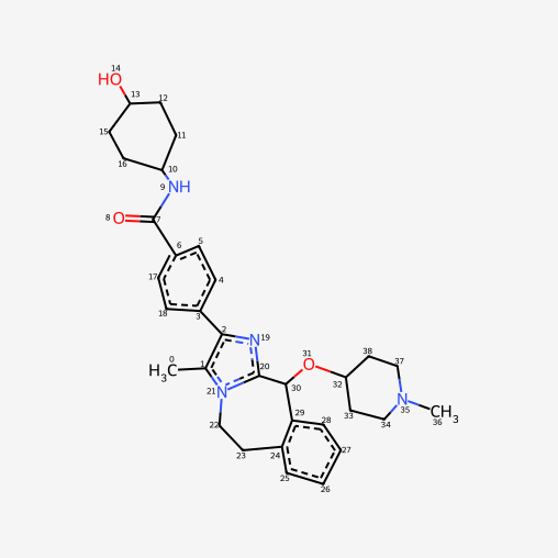 Cc1c(-c2ccc(C(=O)NC3CCC(O)CC3)cc2)nc2n1CCc1ccccc1C2OC1CCN(C)CC1